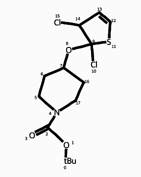 CC(C)(C)OC(=O)N1CCC(OC2(Cl)SC=CC2Cl)CC1